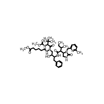 CCC(C)C(C(=O)NC(Cc1ccccc1)C(O)CN(NCCCCCC(=O)OC)C(=O)C(NC(=O)OC)C(C)(C)C)C1CNC(=O)N1Cc1cccc(C)n1